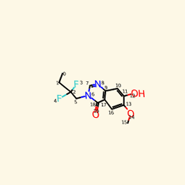 CCC(F)(F)Cn1cnc2cc(O)c(OC)cc2c1=O